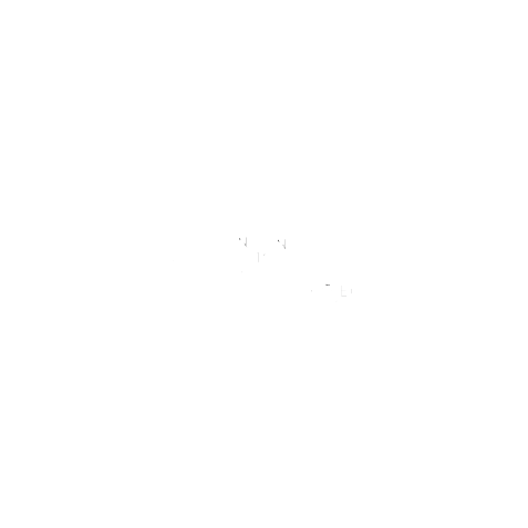 CC/C=C(/CC(=O)OCC)P1(=S)N(c2ccccc2)CCN1c1ccccc1